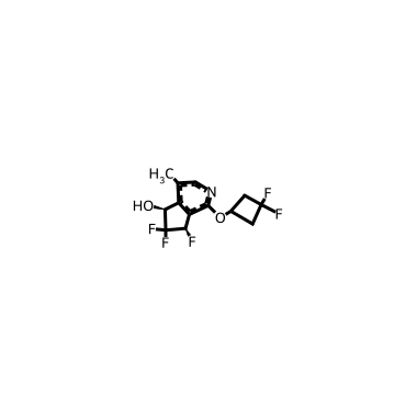 Cc1cnc(OC2CC(F)(F)C2)c2c1[C@H](O)C(F)(F)[C@@H]2F